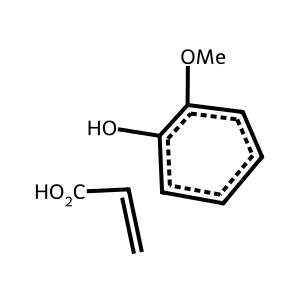 C=CC(=O)O.COc1ccccc1O